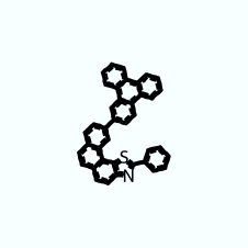 c1ccc(-c2nc3ccc4ccc5ccc(-c6ccc7c8ccccc8c8ccccc8c7c6)cc5c4c3s2)cc1